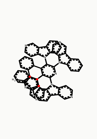 Cc1ccc(-c2ccccc2-c2c(-n3c4ccccc4c4cnccc43)c(-n3c4ccccc4c4cnccc43)nc(-n3c4ccccc4c4cnccc43)c2-n2c3ccccc3c3cnccc32)c(C)n1